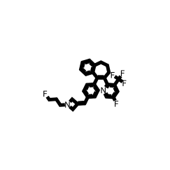 FCCCN1CC(=Cc2ccc(C3=C(c4ncc(F)cc4C(F)(F)F)CCCc4ccccc43)cc2)C1